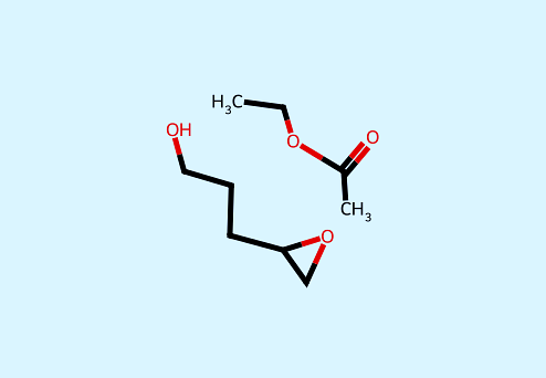 CCOC(C)=O.OCCCC1CO1